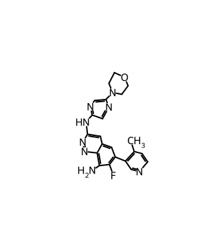 Cc1ccncc1-c1cc2cc(Nc3cnc(N4CCOCC4)cn3)nnc2c(N)c1F